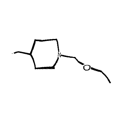 [CH2]C1CCN(COCC)CC1